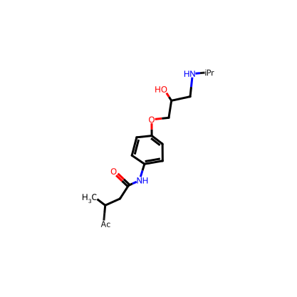 CC(=O)C(C)CC(=O)Nc1ccc(OCC(O)CNC(C)C)cc1